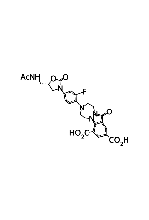 CC(=O)NC[C@H]1CN(c2ccc(N3CCn4c(=O)c5cc(C(=O)O)cc(C(=O)O)c5n4CC3)c(F)c2)C(=O)O1